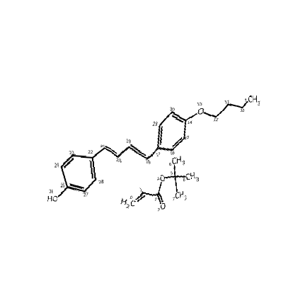 C=CC(=O)OC(C)(C)C.CCCCOc1ccc(C=CC=Cc2ccc(O)cc2)cc1